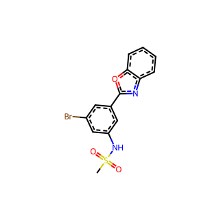 CS(=O)(=O)Nc1cc(Br)cc(-c2nc3ccccc3o2)c1